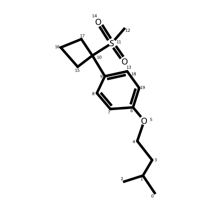 CC(C)CCOc1ccc(C2(S(C)(=O)=O)CCC2)cc1